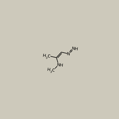 CN/C(C)=C\N=N